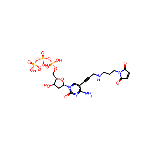 Nc1nc(=O)n([C@H]2CC(O)[C@@H](COP(=O)(O)OP(=O)(O)OP(=O)(O)O)O2)cc1C#CCNCCCN1C(=O)C=CC1=O